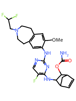 COc1cc2c(cc1Nc1ncc(F)c(NC3C4C=CC(C4)C3OC(N)=O)n1)CCN(CC(F)F)CC2